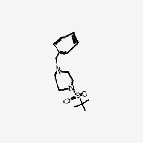 CC(C)(C)S(=O)(=O)N1CCN(Cc2ccccc2)CC1